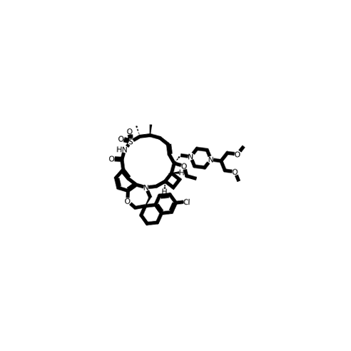 CCO[C@]1(CN2CCN(C(COC)COC)CC2)/C=C/C[C@H](C)[C@@H](C)S(=O)(=O)NC(=O)c2ccc3c(c2)N(C[C@@H]2CC[C@H]21)C[C@@]1(CCCc2cc(Cl)ccc21)CO3